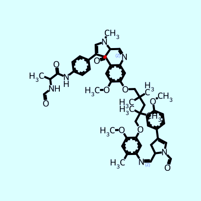 COc1ccc(C2=CN(C=O)C(/C=N\c3cc(OCC(C)(C)CC(C)(C)COc4cc(/N=C\C5CC(c6ccc(NC(=O)C(C)NC=O)cc6)=CN5C)c(C=O)cc4OC)c(OC)cc3C)C2)cc1